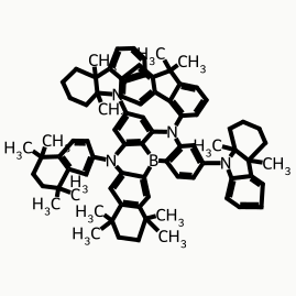 CC1(C)CCC(C)(C)c2cc(N3c4cc5c(cc4B4c6ccc(N7c8ccccc8C8(C)CCCCC78C)cc6N(c6cccc7c6-c6ccccc6C7(C)C)c6cc(N7c8ccccc8C8(C)CCCCC78C)cc3c64)C(C)(C)CCC5(C)C)ccc21